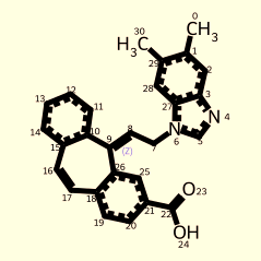 Cc1cc2ncn(C/C=C3/c4ccccc4C=Cc4ccc(C(=O)O)cc43)c2cc1C